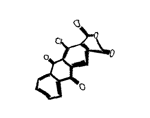 O=c1oc(=O)c2c(Cl)c3c(=O)c4ccccc4c(=O)c3cc12